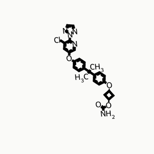 CC(C)(c1ccc(Oc2cnc(-n3nccn3)c(Cl)c2)cc1)c1ccc(O[C@H]2C[C@H](OC(N)=O)C2)cc1